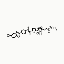 COC(=O)CCC(=O)NS(=O)(=O)c1ccc(C(=O)N[C@H]2CC[C@H](c3nc4cc(Cl)ccc4o3)CC2)o1